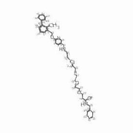 Cc1c(COc2ccc(CNCCOCCOCCOCCOCCC(=O)NCC3=CCCCC3)cn2)cccc1-c1ccccc1